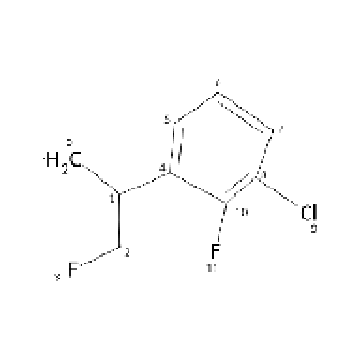 [CH2]C(CF)c1cccc(Cl)c1F